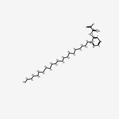 C=C(C)C(=O)Oc1cccc[n+]1CCCCCCCCCCCCCCCCCCCCCC